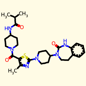 Cc1nc(N2CCC(N3CCc4ccccc4NC3=O)CC2)sc1C(=O)N1CCC(NC(=O)C(C)C)CC1